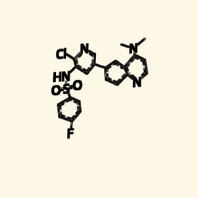 CN(C)c1ccnc2ccc(-c3cnc(Cl)c(NS(=O)(=O)c4ccc(F)cc4)c3)cc12